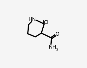 Cl.NC(=O)C1CCCNC1